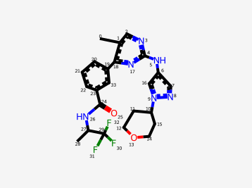 Cc1cnc(Nc2cnn(C3CCOCC3)c2)nc1-c1cccc(C(=O)NC(C)C(F)(F)F)c1